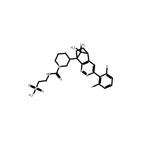 CC1(C)C2CCC1(C1CCCN(C(=O)NCCS(C)(=O)=O)C1)c1nnc(-c3c(F)cccc3F)cc12